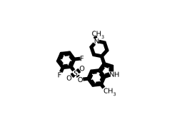 Cc1cc(OS(=O)(=O)c2c(F)cccc2F)cc2c(C3CCN(C)CC3)c[nH]c12